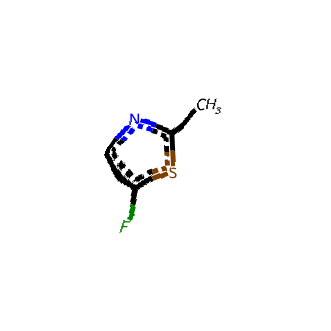 Cc1ncc(F)s1